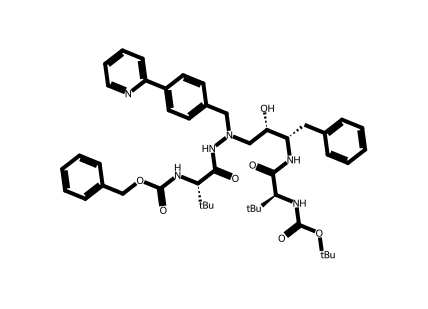 CC(C)(C)OC(=O)N[C@H](C(=O)N[C@@H](Cc1ccccc1)[C@@H](O)CN(Cc1ccc(-c2ccccn2)cc1)NC(=O)[C@@H](NC(=O)OCc1ccccc1)C(C)(C)C)C(C)(C)C